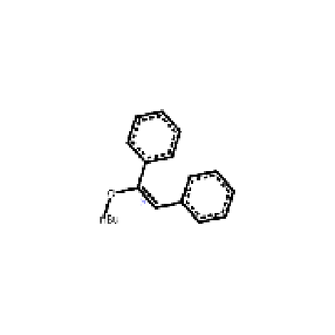 CCCCO/C(=C/c1ccccc1)c1ccccc1